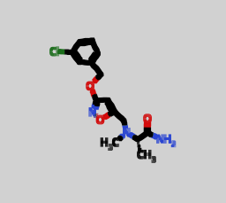 C[C@@H](C(N)=O)N(C)Cc1cc(OCc2cccc(Cl)c2)no1